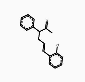 CC(=O)C(C/C=C/c1ccccc1Cl)c1ccccc1